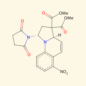 COC(=O)C1(C(=O)OC)C[C@@H](N2C(=O)CCC2=O)N2c3cccc([N+](=O)[O-])c3C=C[C@@H]21